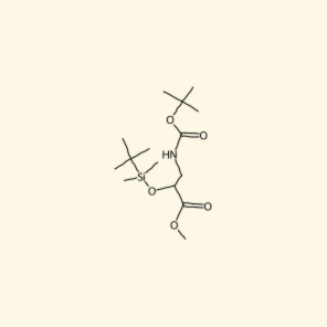 COC(=O)C(CNC(=O)OC(C)(C)C)O[Si](C)(C)C(C)(C)C